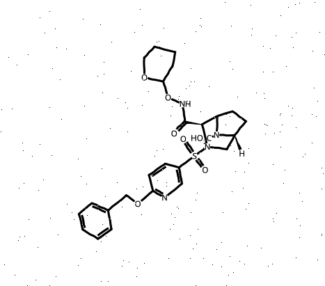 O=C(NOC1CCCCO1)[C@H]1C2CC[C@H](CN1S(=O)(=O)c1ccc(OCc3ccccc3)nc1)N2C(=O)O